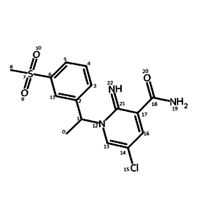 CC(c1cccc(S(C)(=O)=O)c1)n1cc(Cl)cc(C(N)=O)c1=N